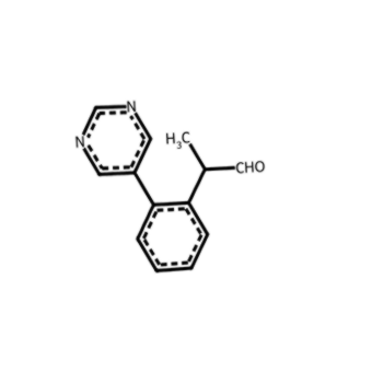 CC(C=O)c1ccccc1-c1cncnc1